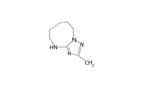 Cc1nc2n(n1)CCCCCN2